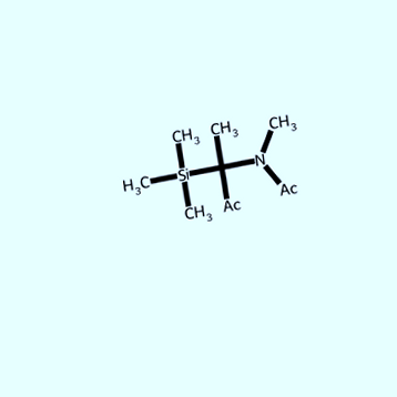 CC(=O)N(C)C(C)(C(C)=O)[Si](C)(C)C